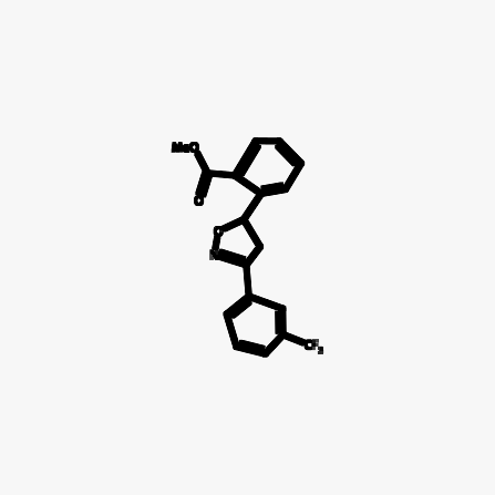 COC(=O)c1ccccc1C1CC(c2cccc(C(F)(F)F)c2)=NO1